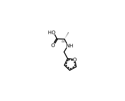 C[C@H](NCc1ccco1)C(=O)O